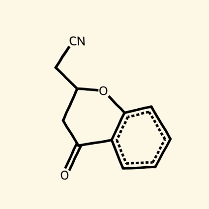 N#CCC1CC(=O)c2ccccc2O1